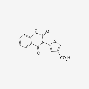 O=C(O)c1csc(-n2c(=O)[nH]c3ccccc3c2=O)c1